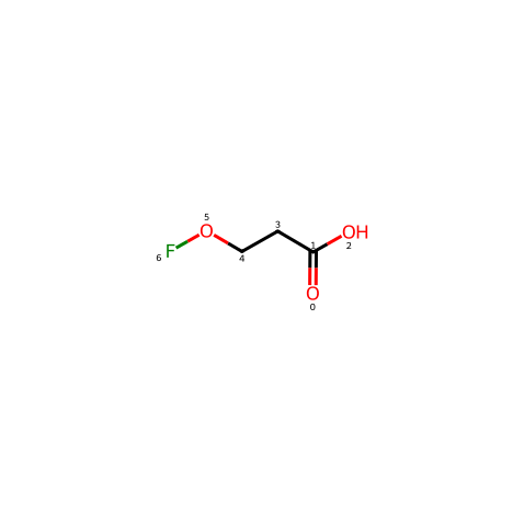 O=C(O)CCOF